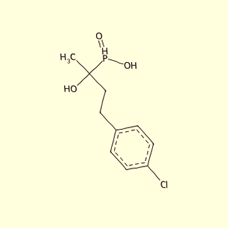 CC(O)(CCc1ccc(Cl)cc1)[PH](=O)O